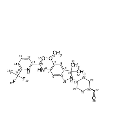 COc1cc2c(cc1NC(=O)c1cccc(C(F)(F)F)n1)CN([C@H]1CC[C@H](C=O)CC1)C2(C)C